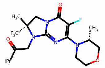 CC(C)C(=O)CN1c2nc(N3CCOC[C@H]3C)c(F)c(=O)n2C[C@@]1(C)C(F)(F)F